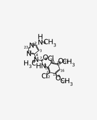 CNc1cc(N(C)C(=O)Nc2c(Cl)c(OC)cc(OC)c2Cl)ncn1